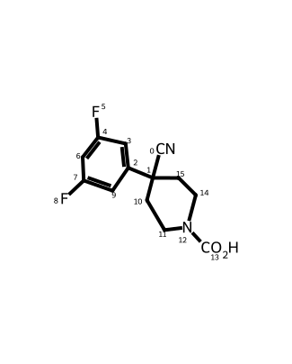 N#CC1(c2cc(F)cc(F)c2)CCN(C(=O)O)CC1